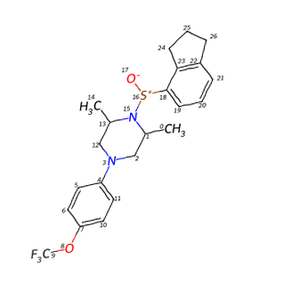 CC1CN(c2ccc(OC(F)(F)F)cc2)CC(C)N1[S+]([O-])c1cccc2c1CCC2